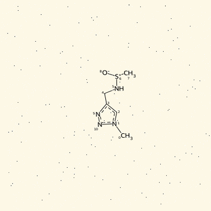 Cn1cc(CN[S+](C)[O-])nn1